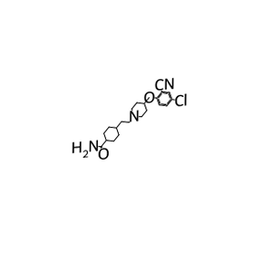 N#Cc1cc(Cl)ccc1OC1CCN(CCC2CCC(C(N)=O)CC2)CC1